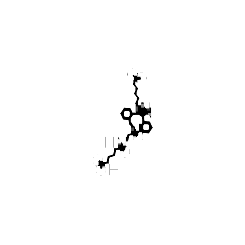 O=C(O)CCCCCn1nnc2c1-c1ccccc1CN(C(=O)CCNC(=O)CCCCC(=O)O)c1ccccc1-2